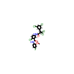 COc1cc(F)ccc1NC(=O)c1cc(NC(=O)C2C(c3cc(Cl)cc(Cl)c3)C2(Cl)Cl)ccc1Cl